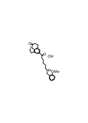 COc1ccccc1CNCCCCCC(=O)c1cc2c3c(c1)CCN3C(=O)CC2.Cl